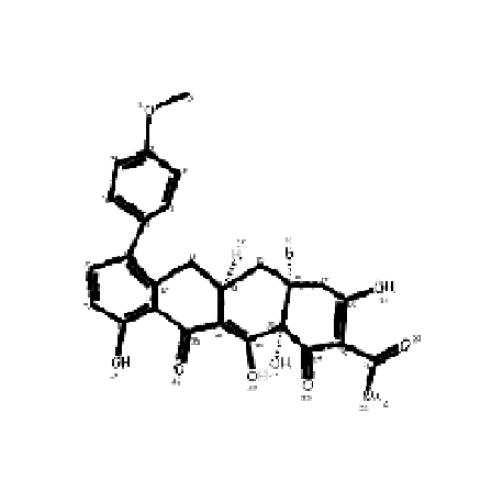 COc1ccc(-c2ccc(O)c3c2C[C@H]2C[C@H]4CC(O)=C(C(N)=O)C(=O)[C@@]4(O)C(O)=C2C3=O)cc1